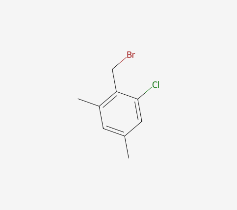 Cc1cc(C)c(CBr)c(Cl)c1